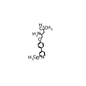 COc1cc(-c2ccc(OCC(N)CC(C)C)cc2)ccn1